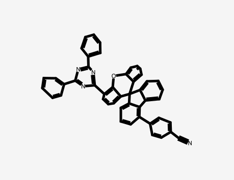 N#Cc1ccc(-c2cccc3c2-c2ccccc2C32c3ccccc3Oc3c(-c4nc(-c5ccccc5)nc(-c5ccccc5)n4)cccc32)cc1